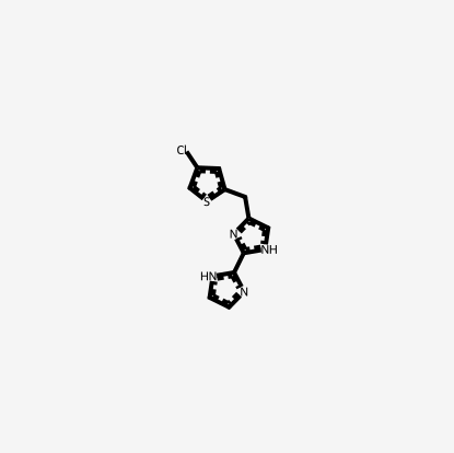 Clc1csc(Cc2c[nH]c(-c3ncc[nH]3)n2)c1